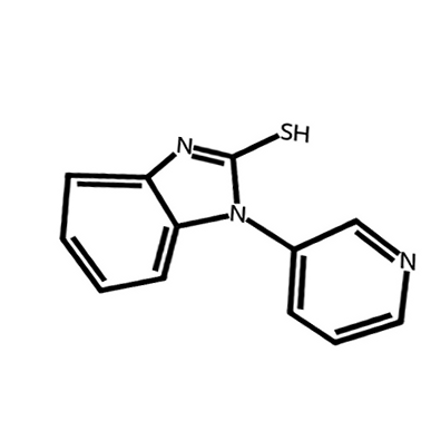 Sc1nc2ccccc2n1-c1cccnc1